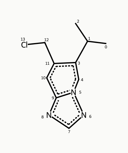 CC(C)c1cn2ncnc2cc1CCl